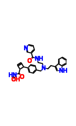 O=C(NCCN(CCc1c[nH]c2ccccc12)Cc1ccc(C2C#CC2C(=O)NO)cc1)c1cccnc1